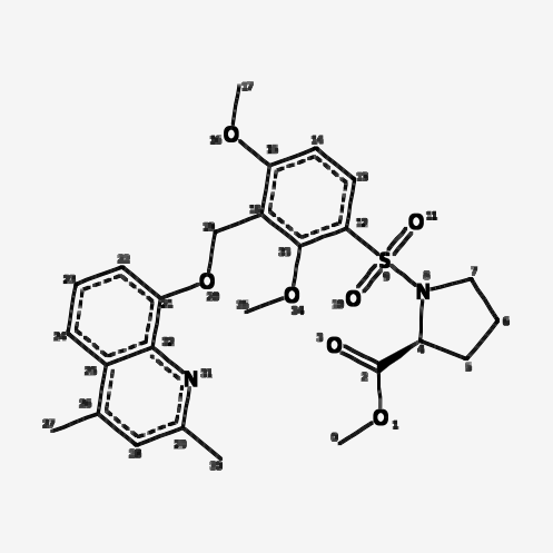 COC(=O)[C@@H]1CCCN1S(=O)(=O)c1ccc(OC)c(COc2cccc3c(C)cc(C)nc23)c1OC